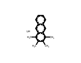 Cc1c(C)c(C)c2cc3ccccc3cc2c1C.[LiH]